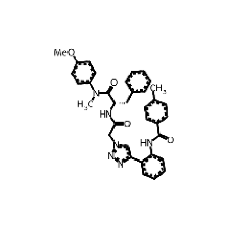 COc1ccc(N(C)C(=O)[C@H](Cc2ccccc2)NC(=O)Cn2cc(-c3ccccc3NC(=O)c3ccc(C)cc3)nn2)cc1